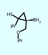 B[C@]1(COC(C)C)CC1(S)C(C)C